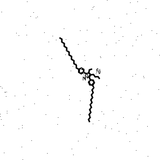 CCCCCCCCCCCCCCCc1ccc(C2=C(CC)C(CCCC)=C(c3ccc(CCCCCCCCCCCCCCC)cc3)[N+]2=[N-])cc1.[CH3][Ni][CH3]